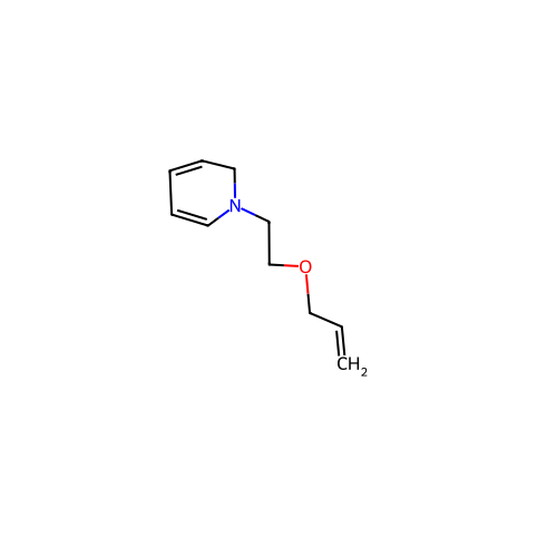 C=CCOCCN1C=CC=CC1